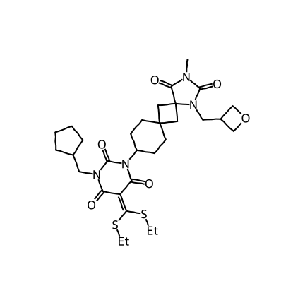 CCSC(SCC)=C1C(=O)N(CC2CCCC2)C(=O)N(C2CCC3(CC2)CC2(C3)C(=O)N(C)C(=O)N2CC2COC2)C1=O